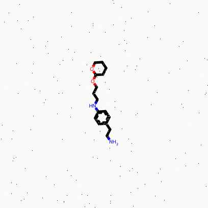 NCCc1ccc(NCCCOC2CCCCO2)cc1